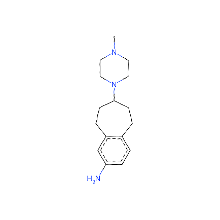 CN1CCN(C2CCc3ccc(N)cc3CC2)CC1